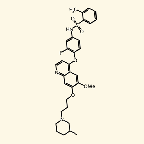 COc1cc2c(Oc3ccc(NS(=O)(=O)c4ccccc4C(F)(F)F)cc3F)ccnc2cc1OCCCN1CCCC(C)C1